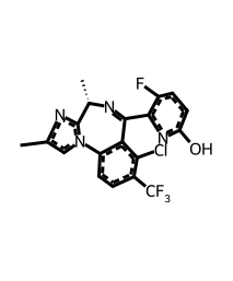 Cc1cn2c(n1)[C@H](C)N=C(c1nc(O)ccc1F)c1c-2ccc(C(F)(F)F)c1Cl